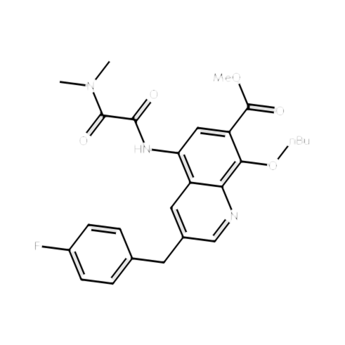 CCCCOc1c(C(=O)OC)cc(NC(=O)C(=O)N(C)C)c2cc(Cc3ccc(F)cc3)cnc12